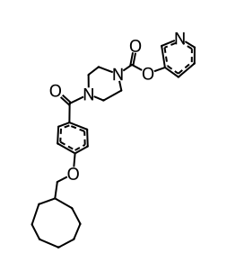 O=C(Oc1cccnc1)N1CCN(C(=O)c2ccc(OCC3CCCCCCC3)cc2)CC1